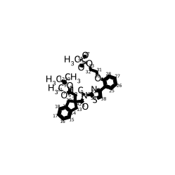 CN(C(=O)C1(CC(=O)OC(C)(C)C)Cc2ccccc2C1)c1nc(-c2ccccc2OCCOS(C)(=O)=O)cs1